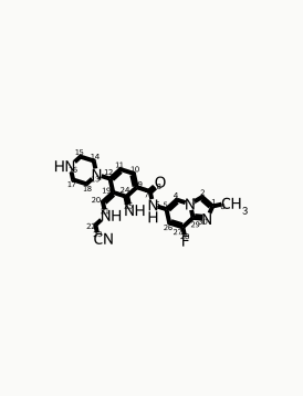 Cc1cn2cc(NC(=O)C3=CC=C(N4CCNCC4)/C(=C/NCC#N)C3=N)cc(F)c2n1